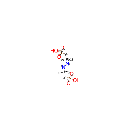 CC(C)(CS(=O)(=O)O)N=NC(C)(C)CS(=O)(=O)O